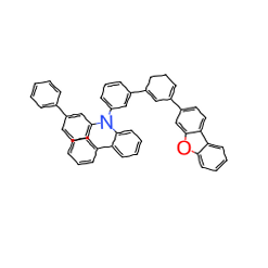 C1=C(c2ccc3c(c2)oc2ccccc23)C=C(c2cccc(N(c3cccc(-c4ccccc4)c3)c3ccccc3-c3ccccc3)c2)CC1